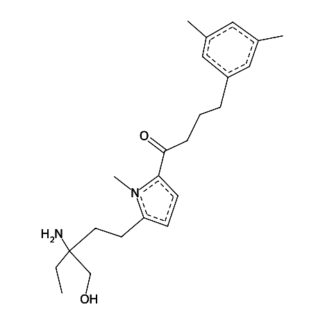 CCC(N)(CO)CCc1ccc(C(=O)CCCc2cc(C)cc(C)c2)n1C